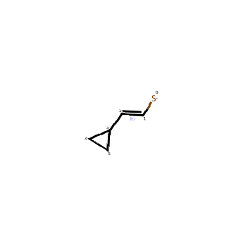 [S]/C=C/C1CC1